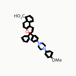 COc1ccc(N2CCN(c3ccc(C4(c5ccccc5)C=Cc5c(ccc6c(C(=O)O)cccc56)O4)cc3)CC2)cc1